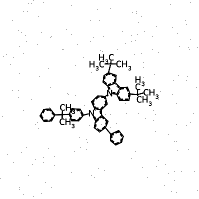 CC(C)(C)c1ccc2c(c1)c1cc(C(C)(C)C)ccc1n2-c1ccc2c(c1)c1cc(-c3ccccc3)ccc1n2-c1ccc(C(C)(C)c2ccccc2)cc1